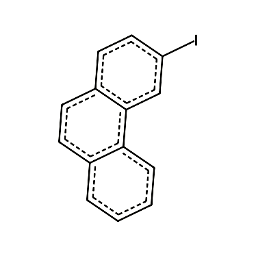 Ic1ccc2ccc3ccccc3c2c1